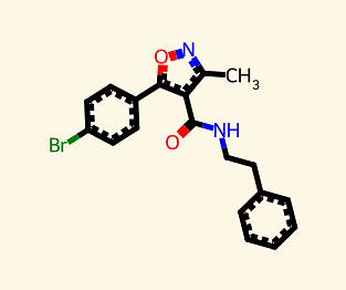 Cc1noc(-c2ccc(Br)cc2)c1C(=O)NCCc1ccccc1